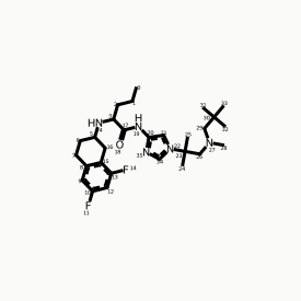 CCCC(NC1CCc2cc(F)cc(F)c2C1)C(=O)Nc1cn(C(C)(C)CN(C)CC(C)(C)C)cn1